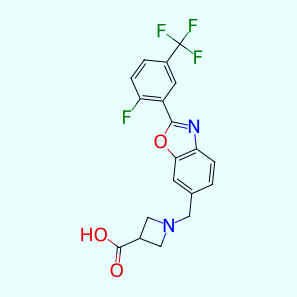 O=C(O)C1CN(Cc2ccc3nc(-c4cc(C(F)(F)F)ccc4F)oc3c2)C1